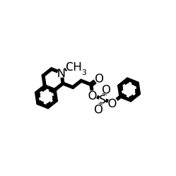 CN1CCc2ccccc2C1CCC(=O)OS(=O)(=O)Oc1ccccc1